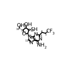 Nc1nc(CCC(F)(F)F)nc2c1ncn2[C@@H]1O[C@H](CO)[C@@H](O)[C@H]1S